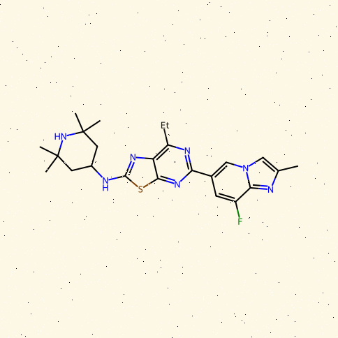 CCc1nc(-c2cc(F)c3nc(C)cn3c2)nc2sc(NC3CC(C)(C)NC(C)(C)C3)nc12